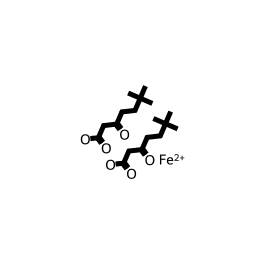 CC(C)(C)CCC(=O)CC(=O)[O-].CC(C)(C)CCC(=O)CC(=O)[O-].[Fe+2]